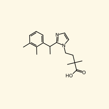 Cc1cccc(C(C)c2nccn2CCC(C)(C)C(=O)O)c1C